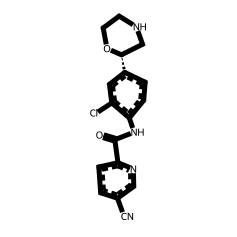 N#Cc1ccc(C(=O)Nc2ccc([C@H]3CNCCO3)cc2Cl)nc1